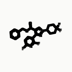 O=C(OCc1ccccc1)c1cn(C2CCC(F)(F)CC2)nc1-c1ccc(F)nc1F